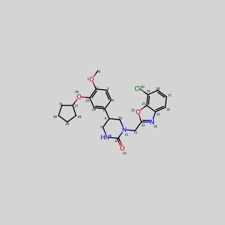 COc1ccc(C2CNC(=O)N(Cc3nc4cccc(Cl)c4o3)C2)cc1OC1CCCC1